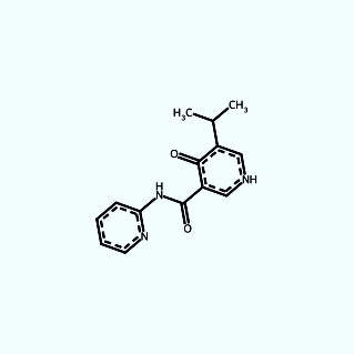 CC(C)c1c[nH]cc(C(=O)Nc2ccccn2)c1=O